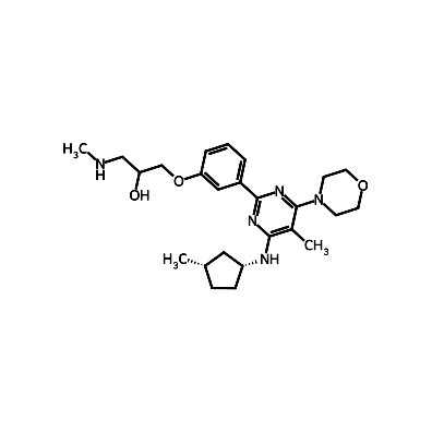 CNCC(O)COc1cccc(-c2nc(N[C@@H]3CC[C@H](C)C3)c(C)c(N3CCOCC3)n2)c1